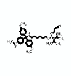 COc1ccc(C(NCCCCCCOP(OCCC#N)N(C(C)C)C(C)C)(c2ccc(OC)cc2)c2ccc([S+](C)[O-])cc2)cc1